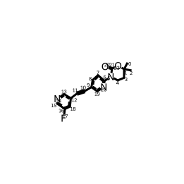 CC1(C)CCN(c2ccc(C#Cc3cncc(F)c3)cn2)C(=O)O1